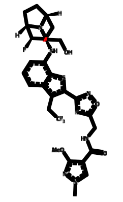 COc1nn(C)cc1C(=O)NCc1nc(-c2sc3c(N[C@@H]4C[C@H]5CC[C@@H]([C@@H]4F)N5CCO)cccc3c2CC(F)(F)F)no1